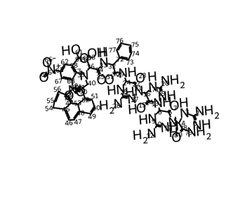 N=C(N)NC(NC(=O)C(NC(=N)N)NC(=O)C(NC(=N)N)NC(=O)C(NC(=N)N)NC(=O)C(NC(=O)C(CO)N(CC1=CC2=C3C(=CC=C4C=CC=C1C43)CC=C2)c1c(C(=O)O)cc([N+](=O)[O-])cc1[N+](=O)[O-])c1ccccc1)C(N)=O